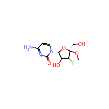 CO[C@]1(CO)O[C@@H](n2ccc(N)nc2=O)[C@H](O)[C@@H]1F